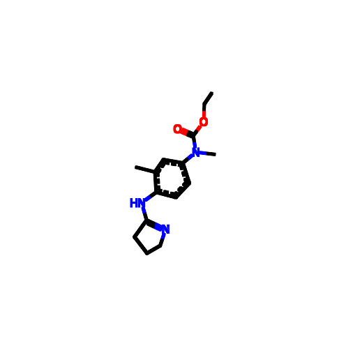 CCOC(=O)N(C)c1ccc(NC2=NCCC2)c(C)c1